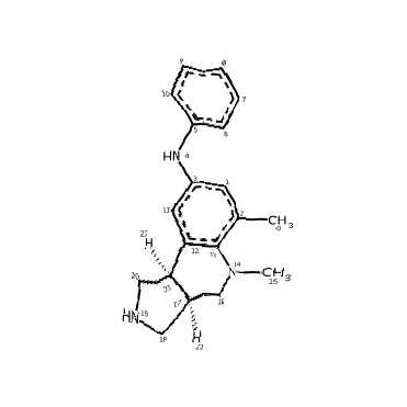 Cc1cc(Nc2ccccc2)cc2c1N(C)C[C@H]1CNC[C@@H]21